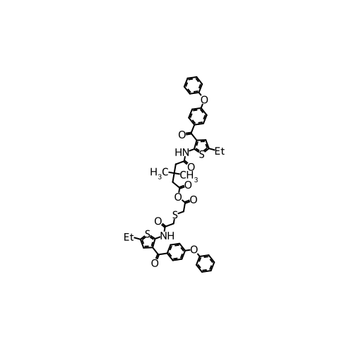 CCc1cc(C(=O)c2ccc(Oc3ccccc3)cc2)c(NC(=O)CSCC(=O)OC(=O)CC(C)(C)CC(=O)Nc2sc(CC)cc2C(=O)c2ccc(Oc3ccccc3)cc2)s1